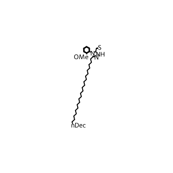 CCCCCCCCCCCCCCCCCCCCCCCCCCCCCCCCCC1=NNC(C=S)N1c1ccccc1OC